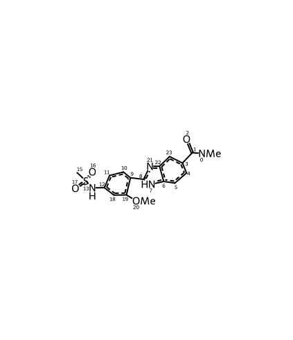 CNC(=O)c1ccc2[nH]c(-c3ccc(NS(C)(=O)=O)cc3OC)nc2c1